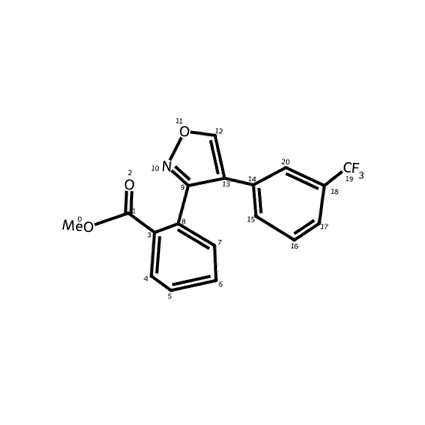 COC(=O)c1ccccc1-c1nocc1-c1cccc(C(F)(F)F)c1